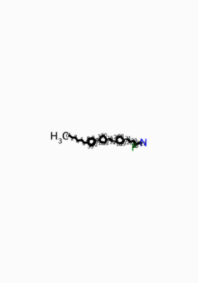 CCCCCCCc1ccc([C@H]2CC[C@H](C=C[C@H]3CC[C@H](CCC=C(F)C#N)CC3)CC2)cc1